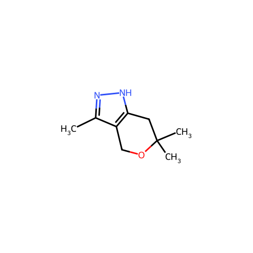 Cc1n[nH]c2c1COC(C)(C)C2